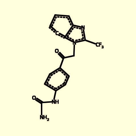 NC(=O)Nc1ccc(C(=O)Cn2c(C(F)(F)F)nc3ccccc32)cc1